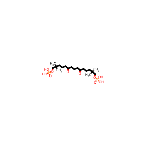 CC(C)(CCCC(=O)CCCC(=O)CCCC(C)(C)COP(=O)(O)O)COP(=O)(O)O